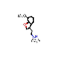 COc1cccc2c(CCNC(=O)O)coc12